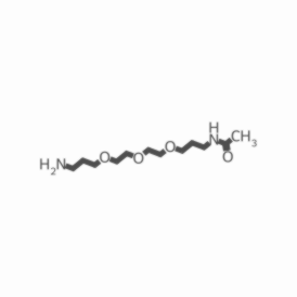 CC(=O)NCCCOCCOCCOCCCN